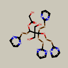 O=C(CO)OC(SSc1ncccn1)C(CO)(CO)C(OSSc1ncccn1)(SSc1ncccn1)SSc1ncccn1